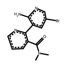 CN(C)C(=O)c1cccnc1-c1cc(Br)cnc1N